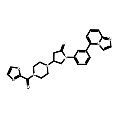 O=C(c1nccs1)N1CCN(C2CC(=O)N(c3cccc(-c4cccc5nccn45)c3)C2)CC1